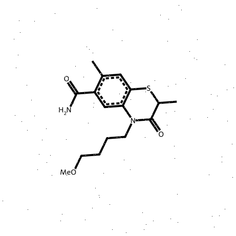 COCCCCN1C(=O)C(C)Sc2cc(C)c(C(N)=O)cc21